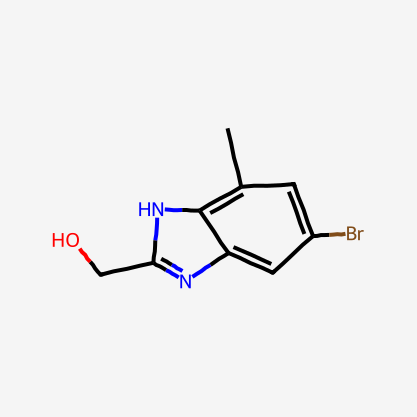 Cc1cc(Br)cc2nc(CO)[nH]c12